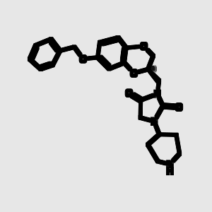 O=C1CN(C2CCNCC2)C(=O)N1C[C@@H]1COc2ccc(OCc3ccccc3)cc2O1